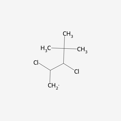 [CH2]C(Cl)C(Cl)C(C)(C)C